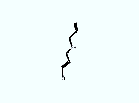 C=CCNC/C=C/Cl